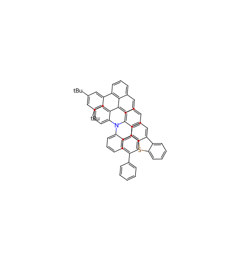 CC(C)(C)c1cc(-c2cccc3cccc(-c4ccccc4N(c4ccccc4-c4ccc(-c5ccccc5)cc4)c4ccccc4-c4cccc5c4sc4ccccc45)c23)cc(C(C)(C)C)c1